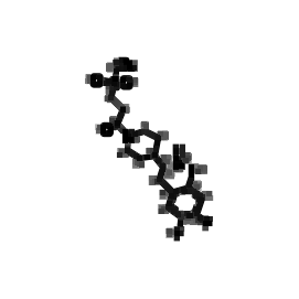 CC(C)(C)S(=O)(=O)CCC(=O)N1CCC([C@H](N)Cc2cc(F)c(F)cc2F)CC1